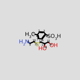 Cc1ccc(S(=O)(=O)O)cc1.NCCSCC(O)CO